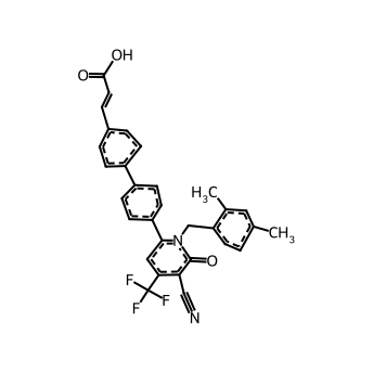 Cc1ccc(Cn2c(-c3ccc(-c4ccc(C=CC(=O)O)cc4)cc3)cc(C(F)(F)F)c(C#N)c2=O)c(C)c1